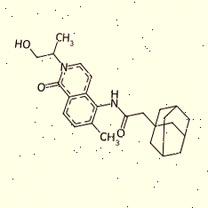 Cc1ccc2c(=O)n(C(C)CO)ccc2c1NC(=O)CC12CC3CC(CC(C3)C1)C2